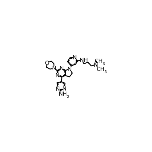 CN(C)CCCNc1cc(N2CCc3c(-c4cnc(N)nc4)nc(N4CCOCC4)nc32)ccn1